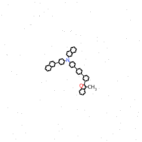 Cc1c(-c2cccc(-c3ccc(-c4ccc(N(c5ccc(-c6ccc7ccccc7c6)cc5)c5ccc6ccccc6c5)cc4)cc3)c2)oc2ccccc12